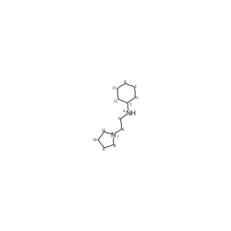 C1CCC(NCCN2CCCC2)CC1